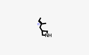 C/C=C(\C)CC1CNC1